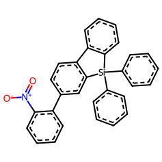 O=[N+]([O-])c1ccccc1-c1ccc2c(c1)[Si](c1ccccc1)(c1ccccc1)c1ccccc1-2